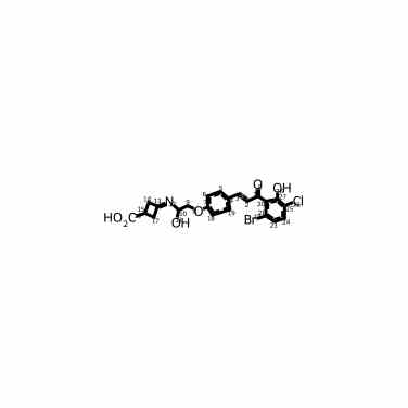 O=C(/C=C/c1ccc(OCC(O)N=C2CC(C(=O)O)C2)cc1)c1c(Br)ccc(Cl)c1O